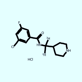 Cl.[2H]C([2H])(NC(=O)c1cc(F)cc(Cl)c1)C1CCNCC1